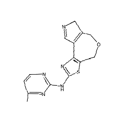 Cc1ccnc(Nc2nc3c(s2)COCC2=C3C=NC2)n1